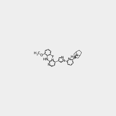 COc1cccc(F)c1Nc1nccc(-c2cnn(-c3cccc(N4CC5CCC(C4)N5C)n3)c2)n1